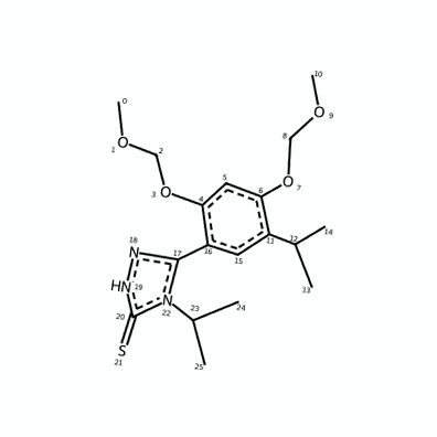 COCOc1cc(OCOC)c(C(C)C)cc1-c1n[nH]c(=S)n1C(C)C